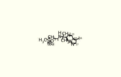 CC(C)(NCCO[Si](C)(C)C(C)(C)C)c1ccc2c(I)cnn2c1